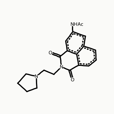 CC(=O)Nc1cc2c3c(cccc3c1)C(=O)N(CCN1CCCC1)C2=O